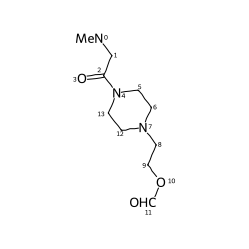 CNCC(=O)N1CCN(CCOC=O)CC1